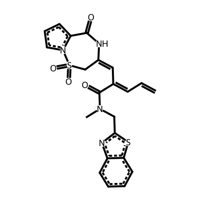 C=C/C=C(\C=C1/CS(=O)(=O)n2cccc2C(=O)N1)C(=O)N(C)Cc1nc2ccccc2s1